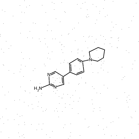 Nc1ncc(-c2ccc(N3CCCCC3)cc2)cn1